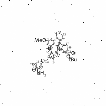 COc1ccc2c(c1)[C@H]1CC[C@@]1(C(=O)N(C)CCOCCN(C)S(N)(=O)=O)Cn1c-2c(C2CCCCC2)c2ccc(C(=O)OC(C)(C)C)cc21